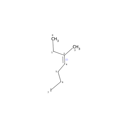 CC/C(C)=C\CCI